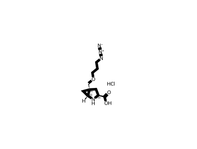 Cl.[N-]=[N+]=NCCCOC[C@]12C[C@@H](C(=O)O)N[C@H]1C2